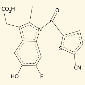 Cc1c(CC(=O)O)c2cc(O)c(F)cc2n1C(=O)c1ccc(C#N)s1